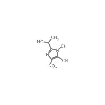 CCn1c(C(C)O)nc([N+](=O)[O-])c1C#N